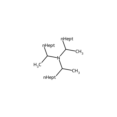 CCCCCCCC(C)N(C(C)CCCCCCC)C(C)CCCCCCC